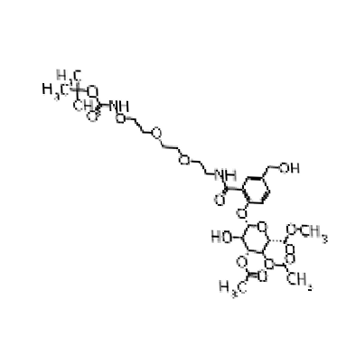 COC(=O)[C@H]1O[C@@H](Oc2ccc(CO)cc2C(=O)NCCOCCOCCONC(=O)OC(C)(C)C)[C@H](O)[C@@H](OC(C)=O)[C@@H]1OC(C)=O